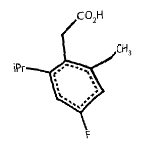 Cc1cc(F)cc(C(C)C)c1CC(=O)O